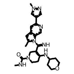 CNC(=O)N1CCC(NC2CCOCC2)=C(C(=N)n2c(C)cc3cc(-c4cnn(C)c4)ncc32)C1